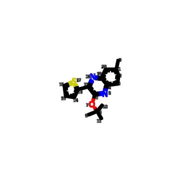 Cc1ccc2nc(OC(C)(C)C)c(-c3cccs3)nc2c1